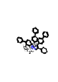 C[N+]1(C)CC(C2CCCCC2)=C(c2ccc(-c3ccccc3)cc2)[B-]1(c1ccc(-c2ccccc2)cc1)c1ccc(-c2ccccc2)cc1